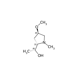 CO[C@@H]1C[C@@H]([C@@H](C)O)N(C)C1